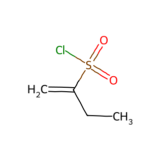 C=C(CC)S(=O)(=O)Cl